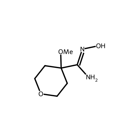 COC1(C(N)=NO)CCOCC1